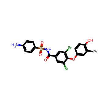 CC(C)c1cc(Oc2c(Br)cc(C(=O)NS(=O)(=O)c3ccc(N)cc3)cc2Br)ccc1O